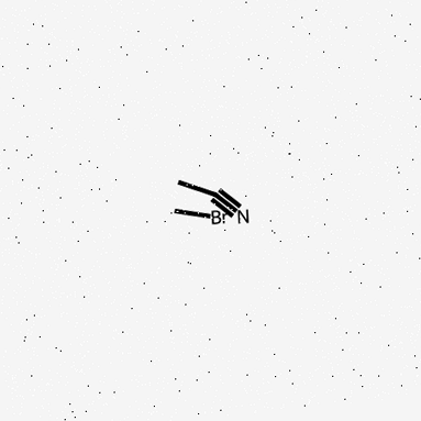 CBr.CC#N